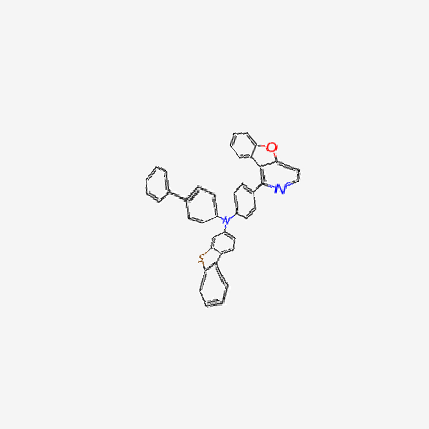 c1ccc(-c2ccc(N(c3ccc(-c4nccc5oc6ccccc6c45)cc3)c3ccc4c(c3)sc3ccccc34)cc2)cc1